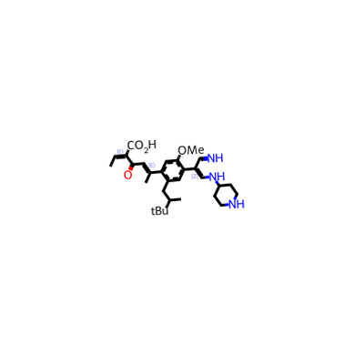 C/C=C(/C(=O)O)C(=O)/C=C(\C)c1cc(OC)c(/C(C=N)=C/NC2CCNCC2)cc1CC(C)C(C)(C)C